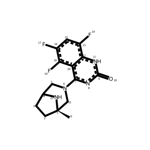 C[C@]12CCC(CN(c3nc(=O)[nH]c4c(F)cc(F)c(F)c34)C1)N2